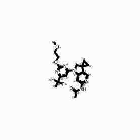 COCCOc1nc(N2CC3(CC3)c3cnc(NC(C)=O)cc32)cc(C(C)(F)F)n1